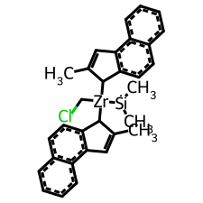 CC1=Cc2c(ccc3ccccc23)[CH]1[Zr]([CH2]Cl)([CH]1C(C)=Cc2c1ccc1ccccc21)[Si](C)C